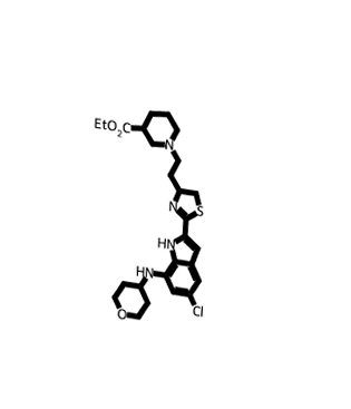 CCOC(=O)C1CCCN(CCC2CSC(c3cc4cc(Cl)cc(NC5CCOCC5)c4[nH]3)=N2)C1